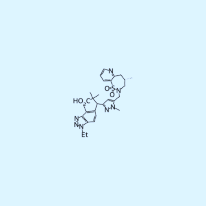 CCn1nnc2c(C)c(C(c3cc(CN4C[C@@H](C)Cc5ncccc5S4(=O)=O)n(C)n3)C(C)(C)C(=O)O)ccc21